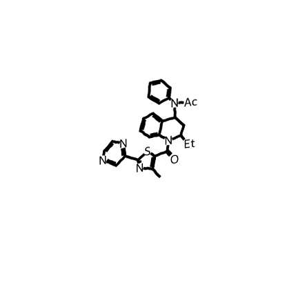 CCC1CC(N(C(C)=O)c2ccccc2)c2ccccc2N1C(=O)c1sc(-c2cnccn2)nc1C